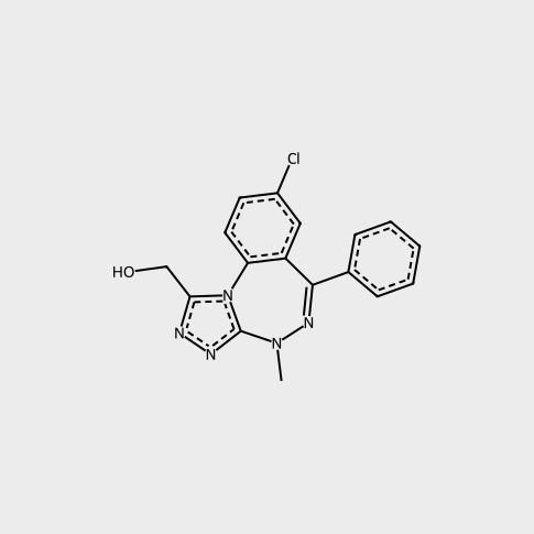 CN1N=C(c2ccccc2)c2cc(Cl)ccc2-n2c(CO)nnc21